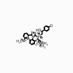 COc1cccc(-c2nnc(N(CC[Si](C)(C)C)S(=O)(=O)C[C@@H](O)c3ccc(Cl)cc3)n2-c2c(OC)cccc2OC)n1